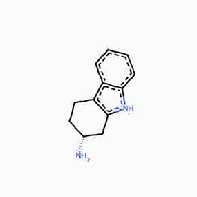 N[C@@H]1CCc2c([nH]c3ccccc23)C1